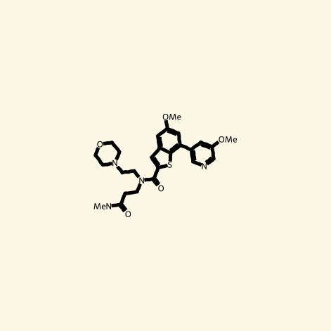 CNC(=O)CCN(CCN1CCOCC1)C(=O)c1cc2cc(OC)cc(-c3cncc(OC)c3)c2s1